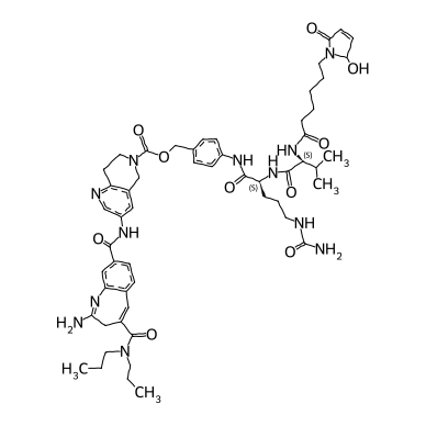 CCCN(CCC)C(=O)C1=Cc2ccc(C(=O)Nc3cnc4c(c3)CN(C(=O)OCc3ccc(NC(=O)[C@H](CCCNC(N)=O)NC(=O)[C@@H](NC(=O)CCCCCN5C(=O)C=CC5O)C(C)C)cc3)CC4)cc2N=C(N)C1